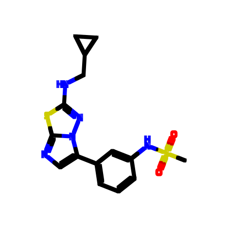 CS(=O)(=O)Nc1cccc(-c2cnc3sc(NCC4CC4)nn23)c1